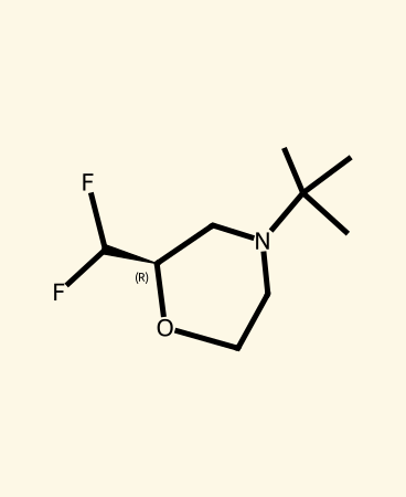 CC(C)(C)N1CCO[C@@H](C(F)F)C1